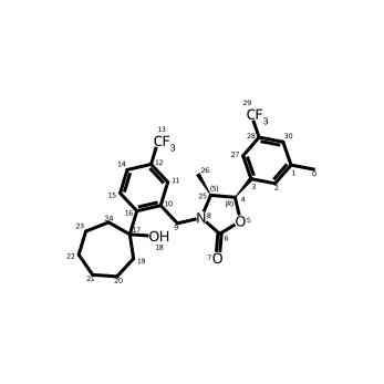 Cc1cc([C@H]2OC(=O)N(Cc3cc(C(F)(F)F)ccc3C3(O)CCCCCC3)[C@H]2C)cc(C(F)(F)F)c1